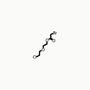 O=C(CBr)OCCOCCCl